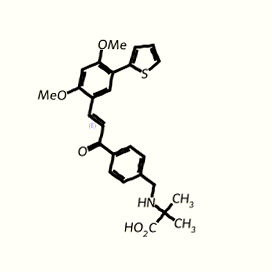 COc1cc(OC)c(-c2cccs2)cc1/C=C/C(=O)c1ccc(CNC(C)(C)C(=O)O)cc1